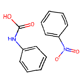 O=C(O)Nc1ccccc1.O=[N+]([O-])c1ccccc1